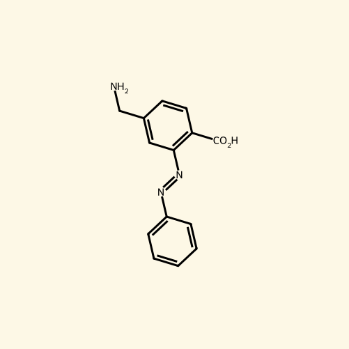 NCc1ccc(C(=O)O)c(N=Nc2ccccc2)c1